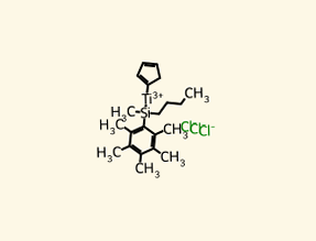 CCCC[Si](C)([Ti+3][C]1=CC=CC1)c1c(C)c(C)c(C)c(C)c1C.[Cl-].[Cl-].[Cl-]